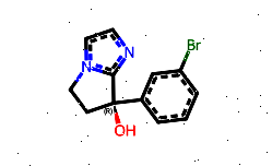 O[C@@]1(c2cccc(Br)c2)CCn2ccnc21